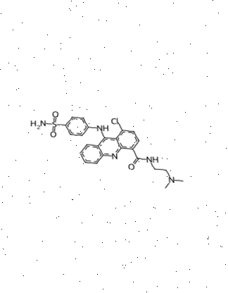 CN(C)CCNC(=O)c1ccc(Cl)c2c(Nc3ccc(S(N)(=O)=O)cc3)c3ccccc3nc12